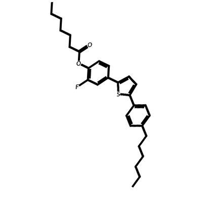 CCCCCCC(=O)Oc1ccc(-c2ccc(-c3ccc(CCCCCC)cc3)s2)cc1F